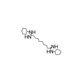 N=C(CCCCCCCCC(=N)NC1CCCCC1)NC1CCCCC1